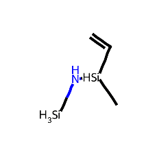 C=C[SiH](C)N[SiH3]